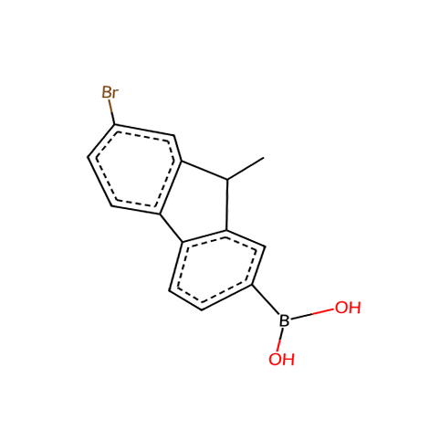 CC1c2cc(Br)ccc2-c2ccc(B(O)O)cc21